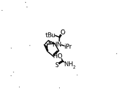 C1=CC2=CC=C1C2.CC(C)NC(=O)C(C)(C)C.NC(O)=S